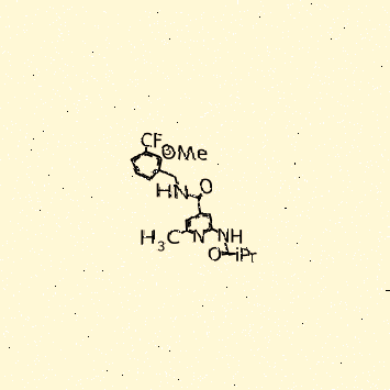 COc1c(CNC(=O)c2cc(C)nc(NC(=O)C(C)C)c2)cccc1C(F)(F)F